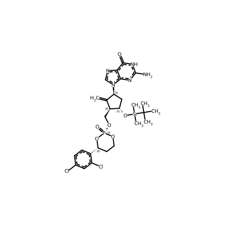 C=C1[C@H](CO[P@]2(=O)OCC[C@H](c3ccc(Cl)cc3Cl)O2)[C@@H](O[Si](C)(C)C(C)(C)C)C[C@@H]1n1cnc2c(=O)[nH]c(N)nc21